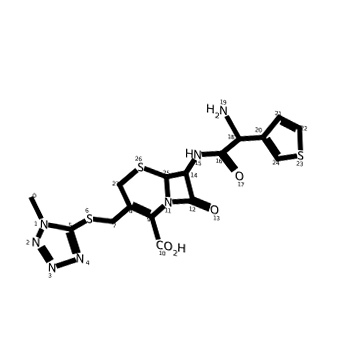 Cn1nnnc1SCC1=C(C(=O)O)N2C(=O)C(NC(=O)C(N)c3ccsc3)C2SC1